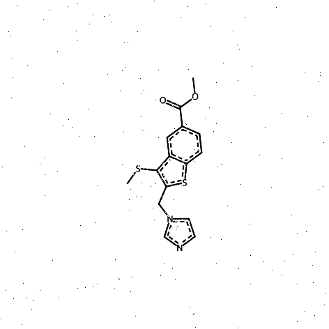 COC(=O)c1ccc2sc(Cn3ccnc3)c(SC)c2c1